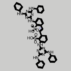 O=S(=O)(O)c1c(/C=C/c2cccc(Nc3nc(Nc4ccccc4)nc(Nc4ccccc4)n3)c2S(=O)(=O)O)cccc1Nc1nc(Nc2ccccc2)nc(Nc2ccccc2)n1